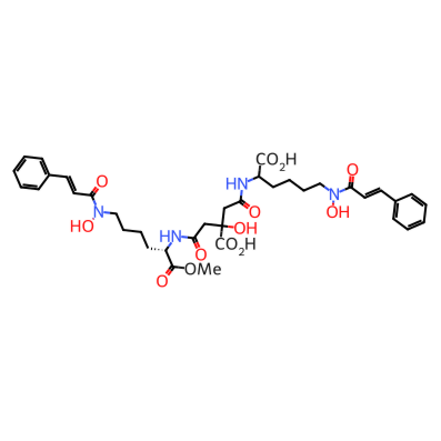 COC(=O)[C@H](CCCCN(O)C(=O)/C=C/c1ccccc1)NC(=O)CC(O)(CC(=O)NC(CCCCN(O)C(=O)/C=C/c1ccccc1)C(=O)O)C(=O)O